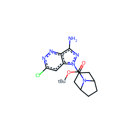 CC(C)(C)OC(=O)N1C2CCC1CC(n1nc(N)c3nnc(Cl)cc31)C2